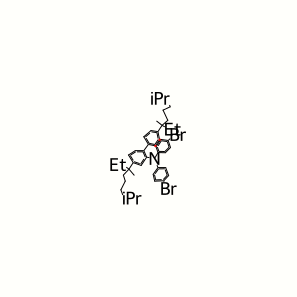 CCC(C)(CCCC(C)C)c1ccc(-c2ccc(C(C)(CC)CCCC(C)C)cc2N(c2ccc(Br)cc2)c2ccc(Br)cc2)cc1